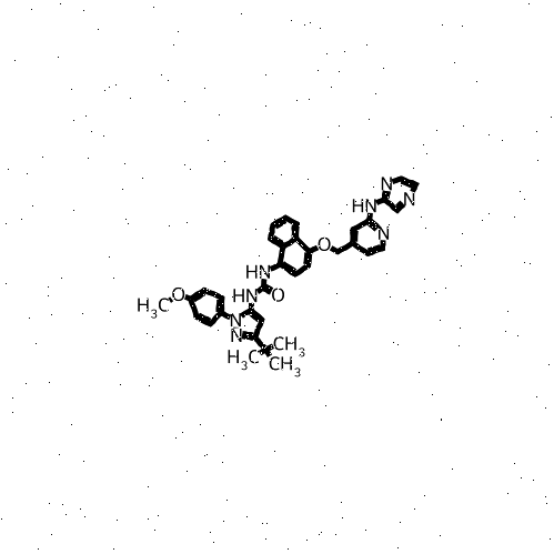 COc1ccc(-n2nc(C(C)(C)C)cc2NC(=O)Nc2ccc(OCc3ccnc(Nc4cnccn4)c3)c3ccccc23)cc1